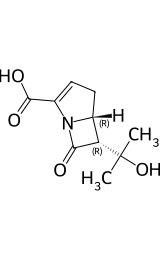 CC(C)(O)[C@@H]1C(=O)N2C(C(=O)O)=CC[C@H]12